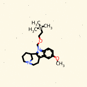 COc1ccc2c(c1)c1c(n2COCC[Si](C)(C)C)C2CCCN(CC1)C2